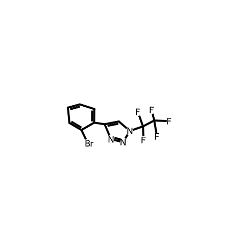 FC(F)(F)C(F)(F)n1cc(-c2ccccc2Br)nn1